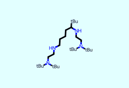 CC(C)(C)C(CCCCNCCN(C(C)(C)C)C(C)(C)C)NCCN(C(C)(C)C)C(C)(C)C